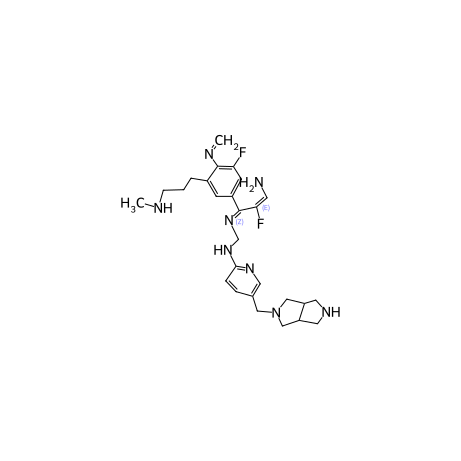 C=Nc1c(F)cc(C(=N/CNc2ccc(CN3CC4CNCC4C3)cn2)/C(F)=C\N)cc1CCCNC